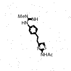 CNC(=N)Nc1ccc(CCc2csc(NC(C)=O)n2)cc1